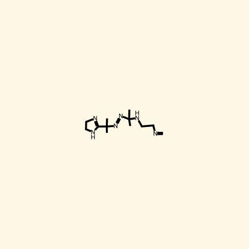 C=NCCNC(C)(C)/N=N/C(C)(C)C1=NCCN1